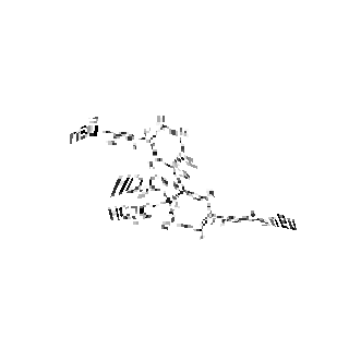 CCCCC#CC1=CCC(C(=O)O)(C(=O)O)C(c2cccc(C#CCCCC)c2)=C1